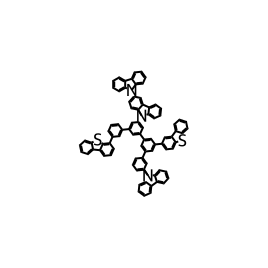 c1cc(-c2cc(-c3cc(-c4cccc(-n5c6ccccc6c6ccccc65)c4)cc(-c4ccc5sc6ccccc6c5c4)c3)cc(-n3c4ccccc4c4cc(-n5c6ccccc6c6ccccc65)ccc43)c2)cc(-c2cccc3c2sc2ccccc23)c1